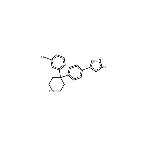 Clc1cccc(C2(c3ccc(-c4cn[nH]c4)cc3)CCNCC2)c1